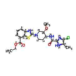 CCOC(=O)c1cccc2nc(N3CCC(NC(=O)c4nc(Cl)c(C)[nH]4)C(OC)C3)sc12